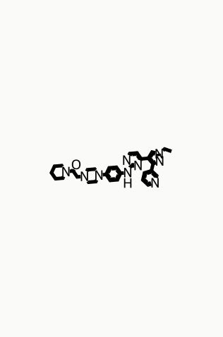 CCn1cc(-c2ccnc(Nc3ccc(N4CCN(CC(=O)N5CCCCC5)CC4)cc3)n2)c(-c2cccnc2)n1